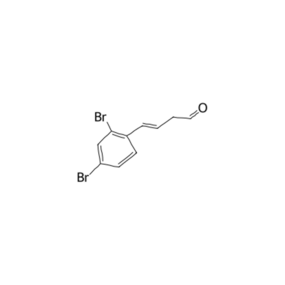 O=CCC=Cc1ccc(Br)cc1Br